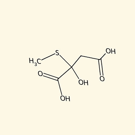 CSC(O)(CC(=O)O)C(=O)O